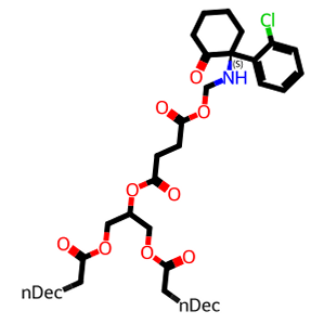 CCCCCCCCCCCC(=O)OCC(COC(=O)CCCCCCCCCCC)OC(=O)CCC(=O)OCN[C@]1(c2ccccc2Cl)CCCCC1=O